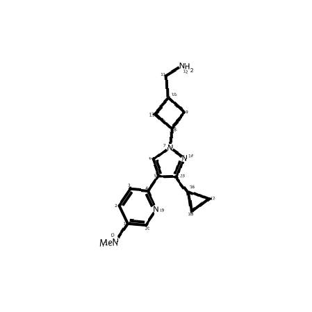 CNc1ccc(-c2cn(C3CC(CN)C3)nc2C2CC2)nc1